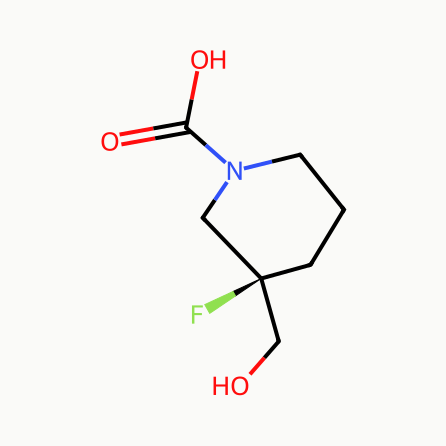 O=C(O)N1CCC[C@](F)(CO)C1